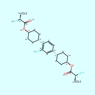 CCCCCCCC[C@H](F)C(=O)O[C@H]1CC[C@H](c2ccc([C@H]3CC[C@H](OC(=O)[C@@H](F)CCCCCCCC)CC3)c(F)c2)CC1